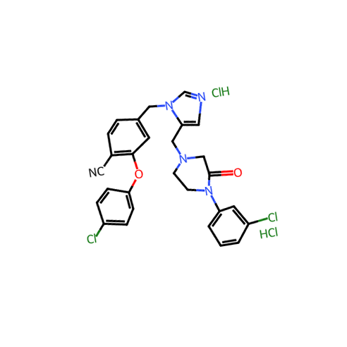 Cl.Cl.N#Cc1ccc(Cn2cncc2CN2CCN(c3cccc(Cl)c3)C(=O)C2)cc1Oc1ccc(Cl)cc1